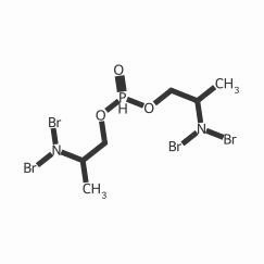 CC(CO[PH](=O)OCC(C)N(Br)Br)N(Br)Br